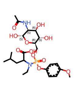 CCN(C(CC(C)C)C(=O)O)P(=O)(OC[C@H]1O[C@H](O)[C@@H](NC(C)=O)[C@@H](O)[C@@H]1O)Oc1ccc(OC)cc1